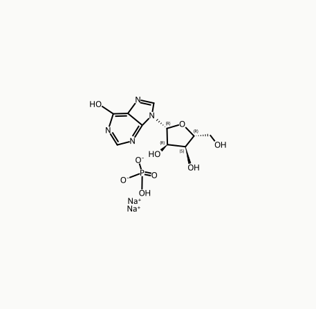 O=P([O-])([O-])O.OC[C@H]1O[C@@H](n2cnc3c(O)ncnc32)[C@H](O)[C@@H]1O.[Na+].[Na+]